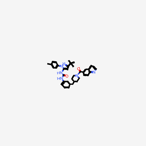 Cc1ccc(-n2nc(C(C)(C)C)cc2NC(=O)Nc2cccc(CC3CCN(C(=O)c4ccc5ncccc5c4)CC3)c2)cc1